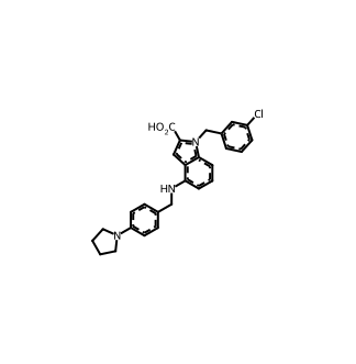 O=C(O)c1cc2c(NCc3ccc(N4CCCC4)cc3)cccc2n1Cc1cccc(Cl)c1